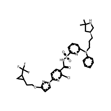 CC1(C)C[C@H](CCCN(c2ccccc2)c2cccc(S(=O)(=O)NC(=O)c3ccc(-n4ccc(OCCC5CC5C(F)(F)F)n4)nc3Cl)n2)CN1